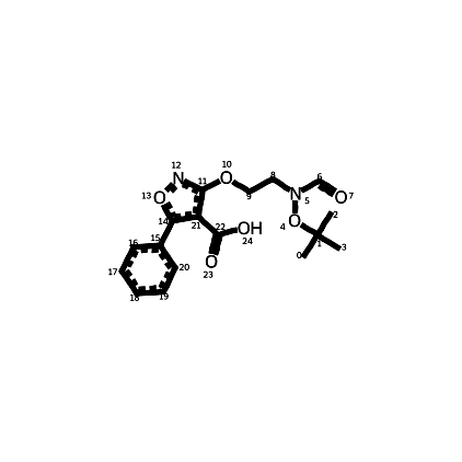 CC(C)(C)ON(C=O)CCOc1noc(-c2ccccc2)c1C(=O)O